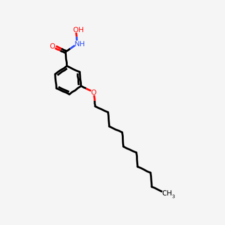 CCCCCCCCCCOc1cccc(C(=O)NO)c1